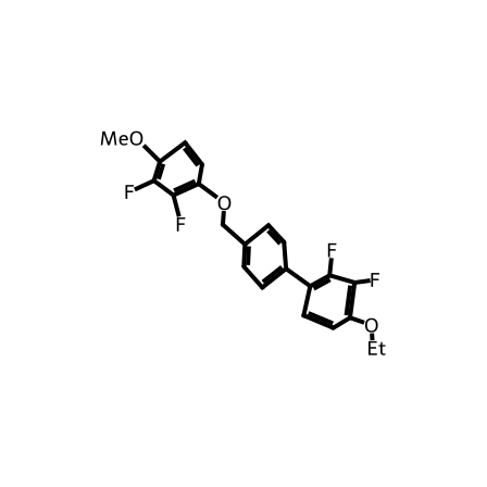 CCOc1ccc(-c2ccc(COc3ccc(OC)c(F)c3F)cc2)c(F)c1F